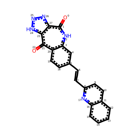 O=c1[nH]c2cc(C=Cc3ccc4ccccc4n3)ccc2c(=O)c2[nH]nnc12